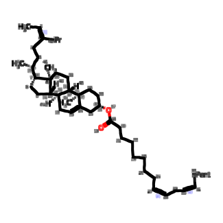 C/C=C(\CC[C@@H](C)[C@H]1CC[C@H]2[C@@H]3CC=C4C[C@@H](OC(=O)CCCCCCC/C=C\C/C=C\CCCCC)CC[C@]4(C)[C@H]3CC[C@]12C)C(C)C